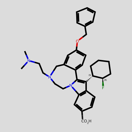 CN(C)CCN1CCn2c(c([C@@H]3CCCC[C@H]3F)c3ccc(C(=O)O)cc32)-c2ccc(OCc3ccccc3)cc2C1